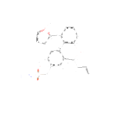 C=CCC1Oc2cccc(-c3ccco3)c2-c2ccc(CS(N)(=O)=O)cc21